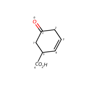 O=C1CC=CC(C(=O)O)C1